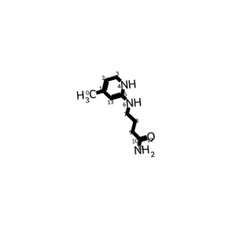 CC1=CCNC(NCCCC(N)=O)=C1